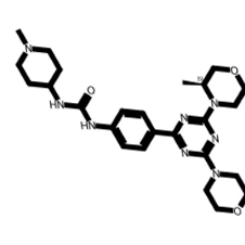 C[C@H]1COCCN1c1nc(-c2ccc(NC(=O)NC3CCN(C)CC3)cc2)nc(N2CCOCC2)n1